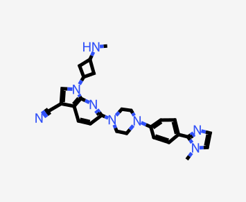 CNC1CC(n2cc(C#N)c3ccc(N4CCN(c5ccc(-c6nccn6C)cc5)CC4)nc32)C1